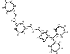 c1ccc(COc2cccc(CCCc3cc(C(c4ccccc4)c4ccccc4)on3)c2)cc1